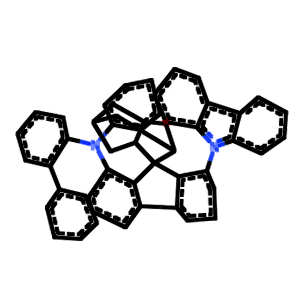 c1ccc(-c2ccccc2N(c2ccccc2)c2cccc3c2C2(c4c-3cccc4-n3c4ccccc4c4ccccc43)C3CC4CC(C3)C2C4)cc1